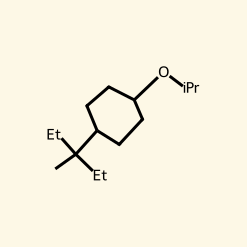 CCC(C)(CC)C1CCC(OC(C)C)CC1